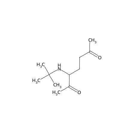 CC(=O)CCC(NC(C)(C)C)C(C)=O